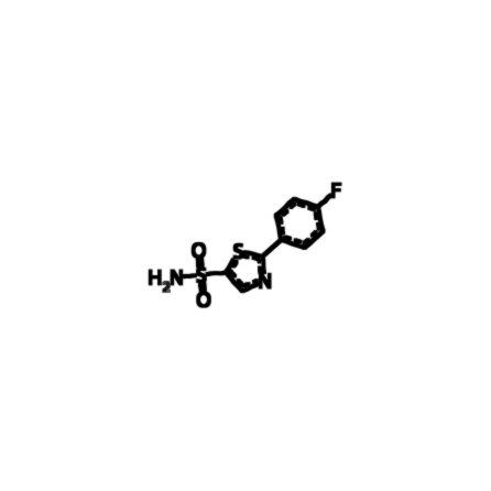 NS(=O)(=O)c1cnc(-c2ccc(F)cc2)s1